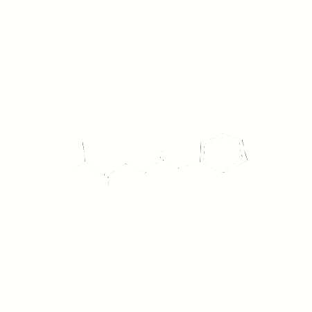 CC(O)NCCNCc1ccccc1